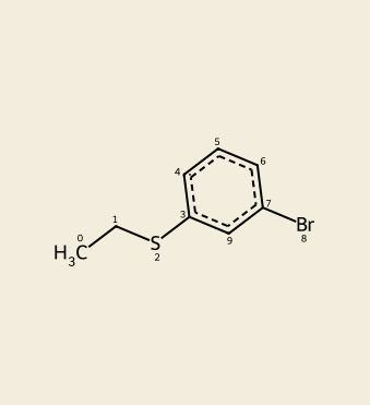 CCSc1[c]ccc(Br)c1